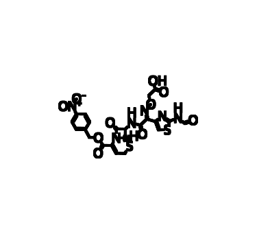 O=CNc1nc(C(=NOCC(=O)O)C(=O)NC2C(=O)N3C(C(=O)OCc4ccc([N+](=O)[O-])cc4)=CCS[C@@H]23)cs1